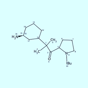 CC(C)(C(=O)C1CCCN1C(C)(C)C)C1CCC[C@H](N)C1